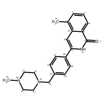 Cc1cccc2c(=O)[nH]c(-c3ccc(CN4CCN(C)CC4)cc3)cc12